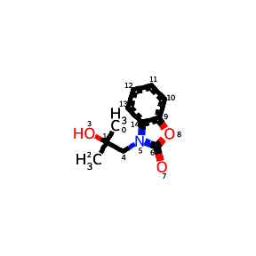 CC(C)(O)Cn1c(=O)oc2ccccc21